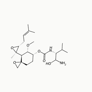 CO[C@@H]1[C@H](OC(=O)N[C@H](C(C)C)C(N)O)CC[C@]2(CO2)[C@H]1[C@@]1(C)O[C@@H]1CC=C(C)C